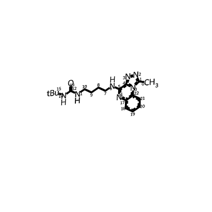 Cc1nnc2c(NCCCCNC(=O)NC(C)(C)C)nc3ccccc3n12